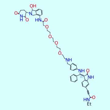 CCNC(=O)C#Cc1ccc2c(c1)NC(=O)/C2=C(\Nc1ccc(CNCCOCCOCCOCCOCC(=O)Nc2cccc3c2CN(C2CCC(=O)NC2=O)C3O)cc1)c1ccccc1